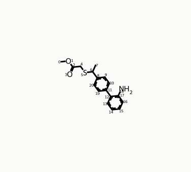 COC(=O)CSC(C)c1ccc(-c2ccccc2N)cc1